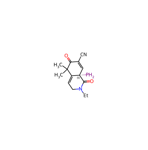 CCN1CC=C2C(C)(C)C(=O)C(C#N)=C[C@@]2(P)C1=O